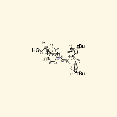 C=C1[C@@H](O[Si](C)(C)C(C)(C)C)CC(=C/C=C2\CC[C@H](C)[C@@H]3[C@H]([C@@H](C)CO)CC[C@H]23)C[C@H]1O[Si](C)(C)C(C)(C)C